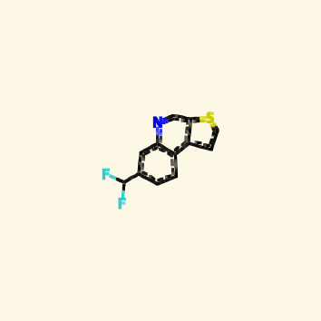 FC(F)c1ccc2c(c1)ncc1sccc12